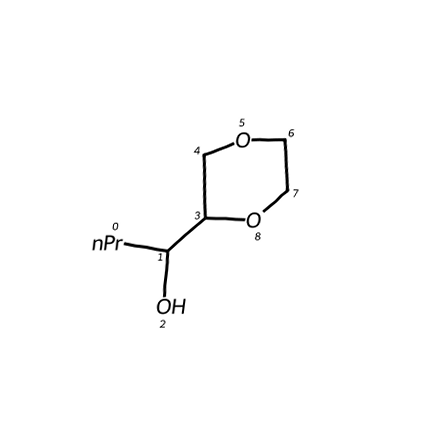 CCCC(O)C1COCCO1